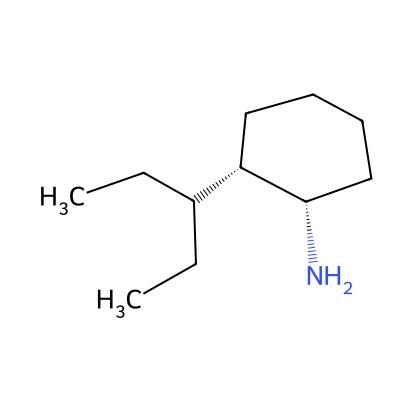 CCC(CC)[C@@H]1CCCC[C@@H]1N